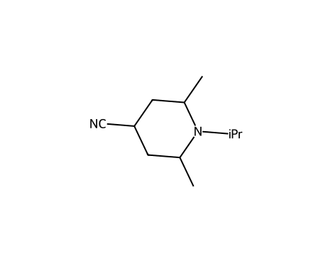 CC(C)N1C(C)CC(C#N)CC1C